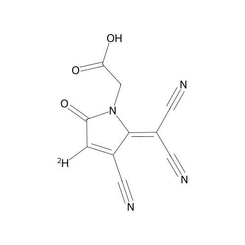 [2H]C1=C(C#N)C(=C(C#N)C#N)N(CC(=O)O)C1=O